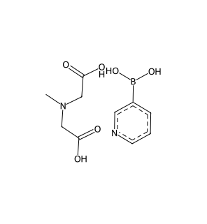 CN(CC(=O)O)CC(=O)O.OB(O)c1cccnc1